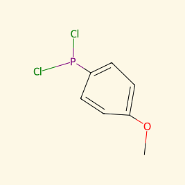 COc1ccc(P(Cl)Cl)cc1